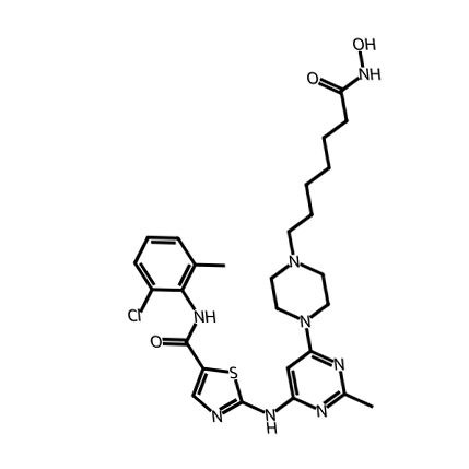 Cc1nc(Nc2ncc(C(=O)Nc3c(C)cccc3Cl)s2)cc(N2CCN(CCCCCCC(=O)NO)CC2)n1